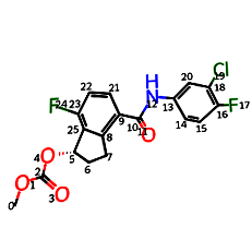 COC(=O)O[C@H]1CCc2c(C(=O)Nc3ccc(F)c(Cl)c3)ccc(F)c21